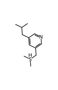 CC(C)Cc1cncc(C[SH](C)C)c1